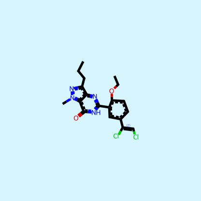 CCCc1nn(C)c2c(=O)[nH]c(-c3cc(/C(Cl)=C/Cl)ccc3OCC)nc12